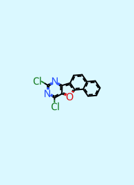 Clc1nc(Cl)c2oc3c4ccccc4ccc3c2n1